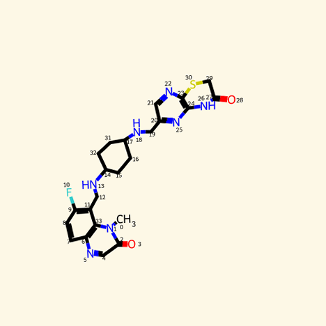 Cn1c(=O)cnc2ccc(F)c(CNC3CCC(NCc4cnc5c(n4)NC(=O)CS5)CC3)c21